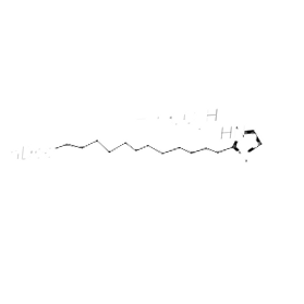 CC(=O)O.CCCCCCCCCCCCCCCCCCCCCCc1ncc[nH]1